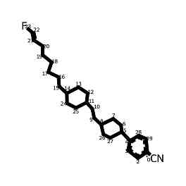 N#Cc1ccc(C2CCC(CCC3CCC(CCCCCCC=CF)CC3)CC2)cc1